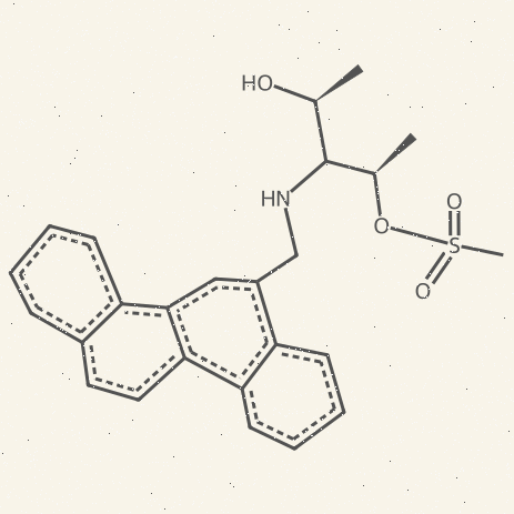 C[C@H](O)C(NCc1cc2c3ccccc3ccc2c2ccccc12)[C@@H](C)OS(C)(=O)=O